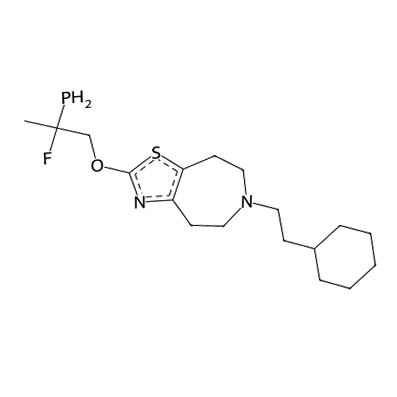 CC(F)(P)COc1nc2c(s1)CCN(CCC1CCCCC1)CC2